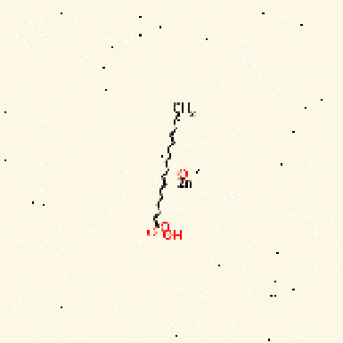 CCCCCCCCCCCCCCCCCC(=O)OO.[O]=[Zn]